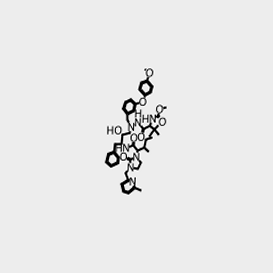 CCC(C)C(C(=O)NC(Cc1ccccc1)C(O)CN(Cc1cccc(Oc2ccc(OC)cc2)c1)NC(=O)C(NC(=O)OC)C(C)(C)C)N1CCN(Cc2cccc(C)n2)C1=O